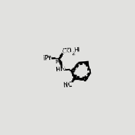 CC(C)[C@H](Nc1ccccc1C#N)C(=O)O